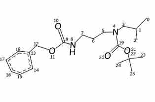 CC(C)CN(CCCNC(=O)OCc1ccccc1)C(=O)OC(C)(C)C